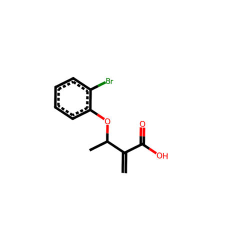 C=C(C(=O)O)C(C)Oc1ccccc1Br